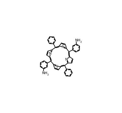 Nc1cccc(C2=C3C=CC(=N3)C(c3ccccc3)=C3C=CC(=N3)C(c3cccc(N)c3)=C3C=CC(=N3)C(c3ccccc3)=C3C=CC2=N3)c1